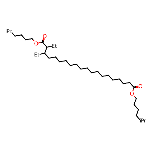 CCC(CCCCCCCCCCCCCCCCC(=O)OCCCCC(C)C)C(CC)C(=O)OCCCCC(C)C